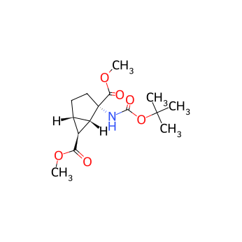 COC(=O)[C@H]1[C@@H]2CC[C@@](NC(=O)OC(C)(C)C)(C(=O)OC)[C@@H]21